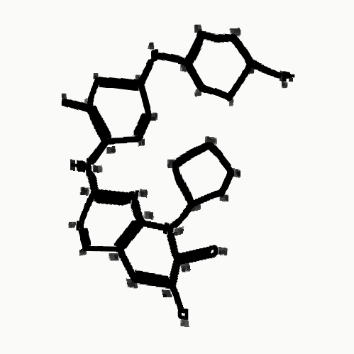 Cc1cc(SC2CCC(C(C)C)CC2)ccc1Nc1ncc2cc(Cl)c(=O)n(C3CCCC3)c2n1